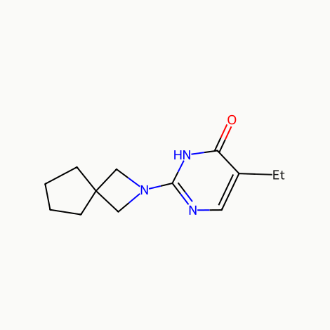 CCc1cnc(N2CC3(CCCC3)C2)[nH]c1=O